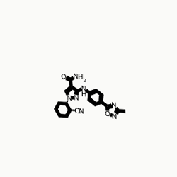 Cc1noc(-c2ccc(Nc3nn([C@H]4CCCC[C@@H]4C#N)cc3C(N)=O)cc2)n1